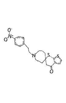 O=C1CC2(CCN(CCc3ccc([N+](=O)[O-])cc3)CC2)Sc2sccc21